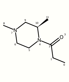 CCC(=O)N1CCN(C)C[C@H]1C